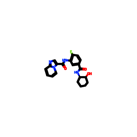 O=C(N[C@@H]1CCCC[C@@H]1O)c1ccc(F)c(NC(=O)c2cnc3ccccn23)c1